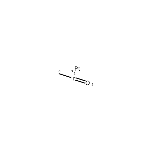 [CH3][Ir]=[O].[Pt]